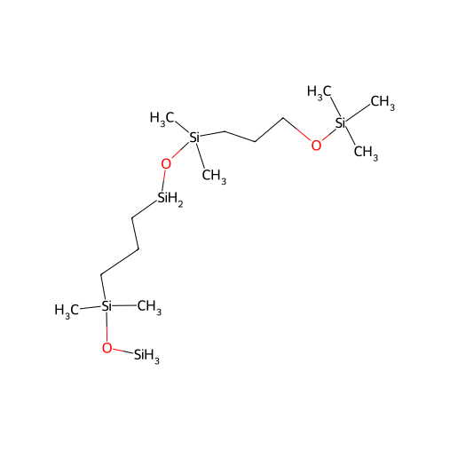 C[Si](C)(C)OCCC[Si](C)(C)O[SiH2]CCC[Si](C)(C)O[SiH3]